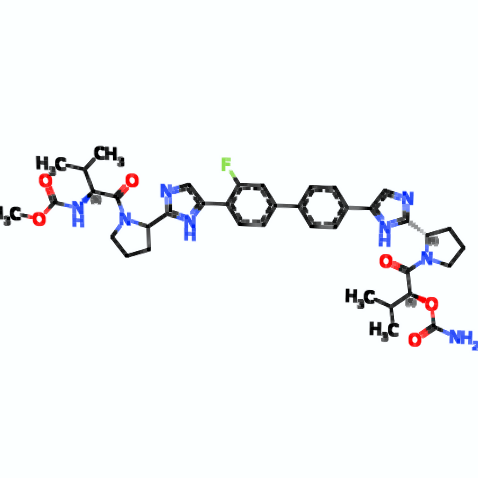 COC(=O)N[C@H](C(=O)N1CCCC1c1ncc(-c2ccc(-c3ccc(-c4cnc([C@@H]5CCCN5C(=O)[C@@H](OC(N)=O)C(C)C)[nH]4)cc3)cc2F)[nH]1)C(C)C